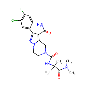 CN(C)C(=O)C(C)(C)NC(=O)N1CCn2nc(-c3ccc(F)c(Cl)c3)c(C(N)=O)c2C1